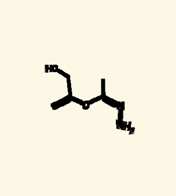 C=C(CO)O/C(C)=N\N